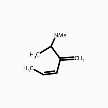 C=C(/C=C\C)C(C)NC